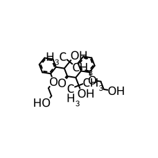 CC(C)(O)C(C(=O)C(c1ccccc1OCCO)C(C)(C)O)c1ccccc1OCCO